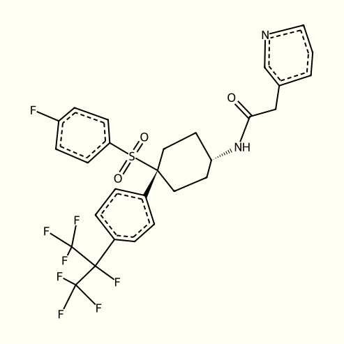 O=C(Cc1cccnc1)N[C@H]1CC[C@@](c2ccc(C(F)(C(F)(F)F)C(F)(F)F)cc2)(S(=O)(=O)c2ccc(F)cc2)CC1